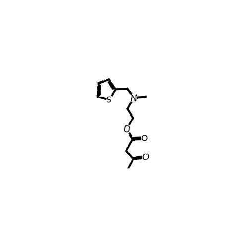 CC(=O)CC(=O)OCCN(C)Cc1cccs1